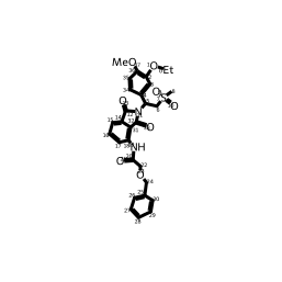 CCOc1cc(C(CS(C)(=O)=O)N2C(=O)c3cccc(NC(=O)COCc4ccccc4)c3C2=O)ccc1OC